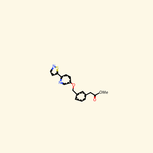 COC(=O)Cc1cccc(COc2ccc(-c3ccns3)nc2)c1